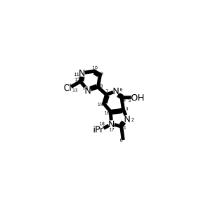 Cc1nc2c(O)nc(-c3ccnc(Cl)n3)cc2n1C(C)C